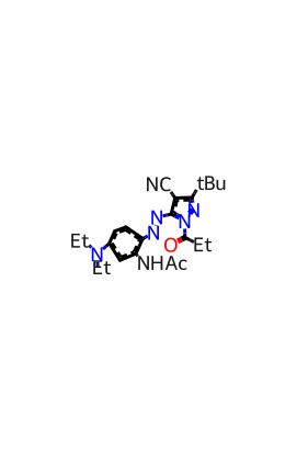 CCC(=O)n1nc(C(C)(C)C)c(C#N)c1/N=N/c1ccc(N(CC)CC)cc1NC(C)=O